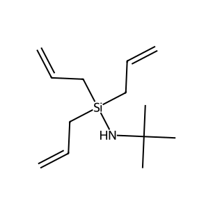 C=CC[Si](CC=C)(CC=C)NC(C)(C)C